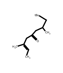 CC=C(C)CC(=O)CC(C)CC(C)(C)C